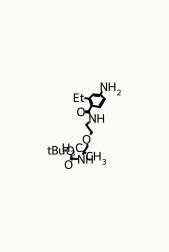 CCc1cc(N)ccc1C(=O)NCCOCC(C)(C)NC(=O)OC(C)(C)C